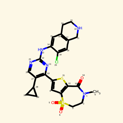 CN1CCS(=O)(=O)c2cc(-c3nc(Nc4cc5c(cc4Cl)CNCC5)ncc3C3CC3)sc2C1=O